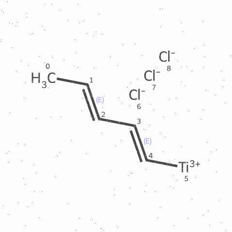 C/C=C/C=[CH]/[Ti+3].[Cl-].[Cl-].[Cl-]